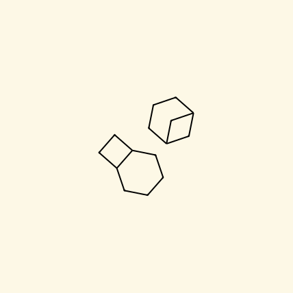 C1CC2CC(C1)C2.C1CCC2CCC2C1